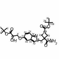 CC(C)(C)OC(=O)[C@H](O)COc1ccc2nn(CC3(C(N)=O)CN(C(=O)OC(C)(C)C)C3)cc2c1